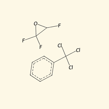 ClC(Cl)(Cl)c1ccccc1.FC1OC1(F)F